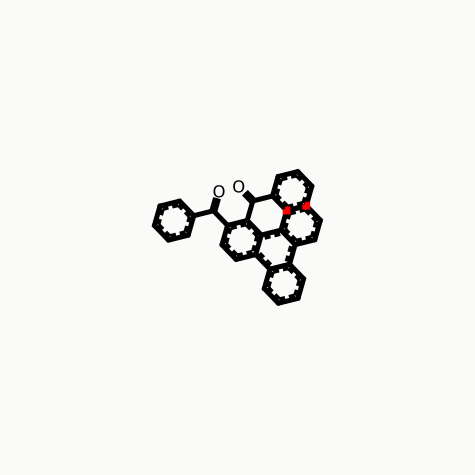 O=C(c1ccccc1)c1ccc2c3ccccc3c3ccccc3c2c1C(=O)c1ccccc1